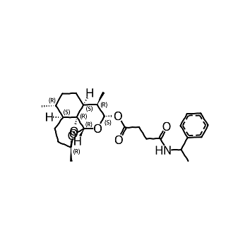 CC(NC(=O)CCC(=O)O[C@@H]1O[C@@H]2O[C@@]3(C)CC[C@H]4[C@H](C)CC[C@@H]([C@H]1C)[C@@]24OO3)c1ccccc1